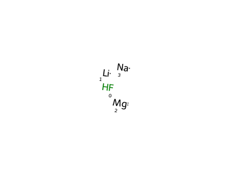 F.[Li].[Mg].[Na]